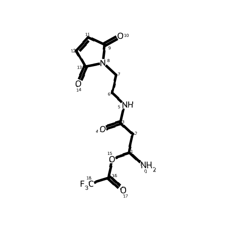 NC(CC(=O)NCCN1C(=O)C=CC1=O)OC(=O)C(F)(F)F